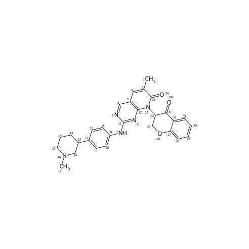 Cc1cc2cnc(Nc3ccc(C4CCCN(C)C4)cc3)nc2n(C2COc3ccccc3C2=O)c1=O